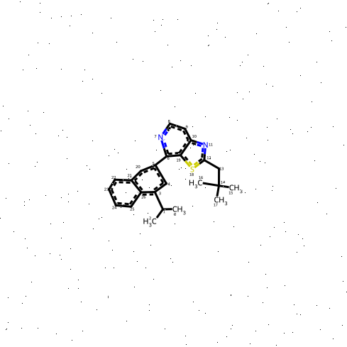 CC(C)c1cc(-c2nccc3nc(CC(C)(C)C)sc23)cc2ccccc12